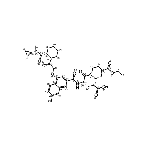 CCOC(=O)N1CCN(C(=O)[C@H](CCC(=O)O)NC(=O)c2cc(OCC(=O)N3CCCC[C@H]3C(=O)NC3CC3)c3ccc(C)cc3n2)CC1